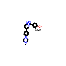 COc1cc(-c2nnc3ccc(-c4ccc(N5CCN(C)CC5)cc4)cn23)ccc1O